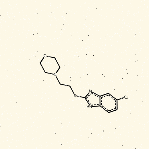 Clc1ccc2[nH]c(SCCN3CCOCC3)nc2c1